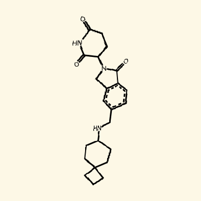 O=C1CCC(N2Cc3cc(CNC4CCC5(CCC5)CC4)ccc3C2=O)C(=O)N1